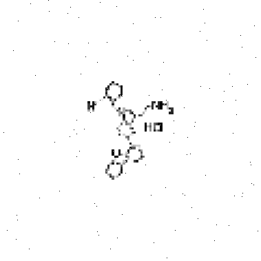 Cl.N#Cc1ccccc1Cn1cc(CCN)c2cc(-c3cccc4c3oc3ccccc34)ccc21